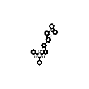 C1=Cc2c(n(-c3cccc4c3oc3ccc(-c5ccc6oc7c(C8NC(c9ccccc9)NC(c9ccccc9)N8)cccc7c6c5)cc34)c3ccccc23)CC1